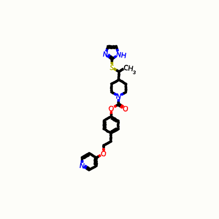 CC(Sc1ncc[nH]1)C1CCN(C(=O)Oc2ccc(CCOc3ccncc3)cc2)CC1